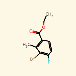 CCOC(=O)c1ccc(F)c(Br)c1C